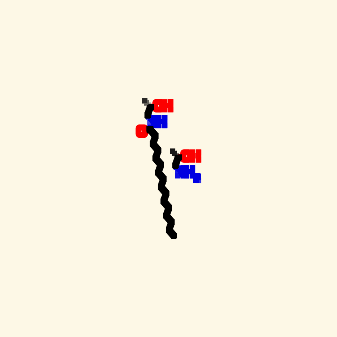 CCCCCCCCCCCCCCCC(=O)NC[C@H](C)O.C[C@H](O)CN